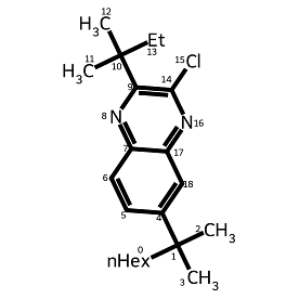 CCCCCCC(C)(C)c1ccc2nc(C(C)(C)CC)c(Cl)nc2c1